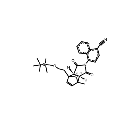 CC12C=CC(CCO[Si](C)(C)C(C)(C)C)(O1)[C@@H]1C(=O)N(c3ccc(C#N)c4ncccc34)C(=O)[C@@H]12